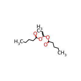 CC=C(OC(=O)CCCC)OC(=O)CCCC